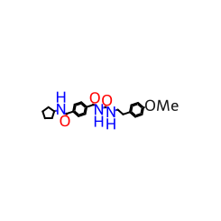 COc1ccc(CCNC(=O)NC(=O)c2ccc(C(=O)NC3CCCC3)cc2)cc1